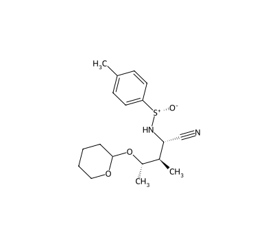 Cc1ccc([S@+]([O-])N[C@H](C#N)[C@@H](C)[C@H](C)OC2CCCCO2)cc1